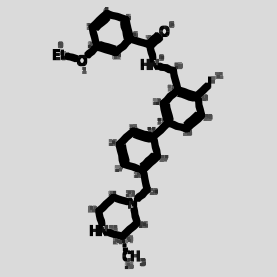 CCOc1cccc(C(=O)NCc2cc(-c3cccc(CN4CCN[C@@H](C)C4)c3)ccc2F)c1